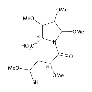 COC(S)C[C@@H](OC)C(=O)N1C(OC)C(OC)C(OC)[C@H]1C(=O)O